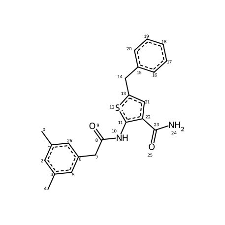 Cc1cc(C)cc(CC(=O)Nc2sc(Cc3ccccc3)cc2C(N)=O)c1